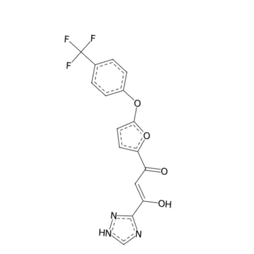 O=C(C=C(O)c1nc[nH]n1)c1ccc(Oc2ccc(C(F)(F)F)cc2)o1